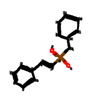 O=S(=O)(/C=C/c1ccccc1)Cc1ccccc1